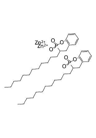 CCCCCCCCCCCCC(Cc1ccccc1)P(=O)([O-])[O-].CCCCCCCCCCCCC(Cc1ccccc1)P(=O)([O-])[O-].[Zn+2].[Zn+2]